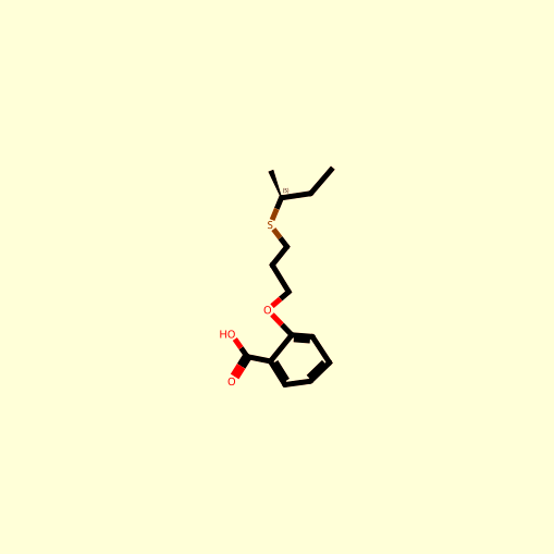 CC[C@H](C)SCCCOc1ccccc1C(=O)O